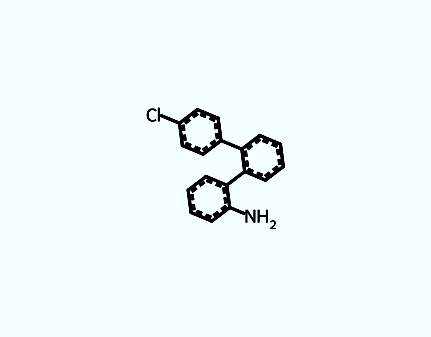 Nc1ccccc1-c1ccccc1-c1ccc(Cl)cc1